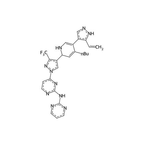 C=Cc1[nH]ncc1C1=CNC(c2cn(-c3ccnc(Nc4ncccn4)n3)nc2C(F)(F)F)C=C1CCCC